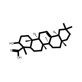 CC1(C)CC[C@]2(C)CC[C@]3(C)C(=CC[C@@H]4[C@@]5(C)CCC(O)C(C)(C(=O)O)C5CC[C@]43C)[C@H]2C1